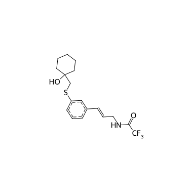 O=C(NCC=Cc1cccc(SCC2(O)CCCCC2)c1)C(F)(F)F